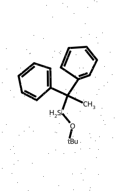 CC(C)(C)O[SiH2]C(C)(c1ccccc1)c1ccccc1